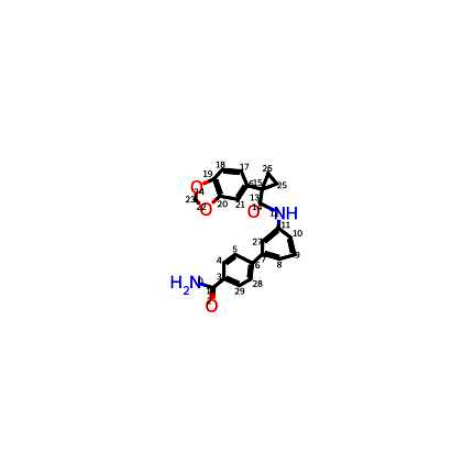 NC(=O)c1ccc(-c2cccc(NC(=O)C3(c4ccc5c(c4)OCO5)CC3)c2)cc1